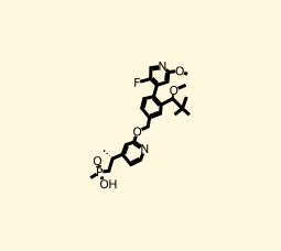 COc1cc(-c2ccc(COc3cc([C@@H](C)CP(C)(=O)O)ccn3)cc2[C@@H](OC)C(C)(C)C)c(F)cn1